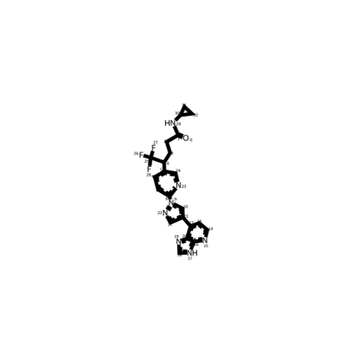 O=C(CCC(c1ccc(-n2cc(-c3ccnc4[nH]cnc34)cn2)nc1)C(F)(F)F)NC1CC1